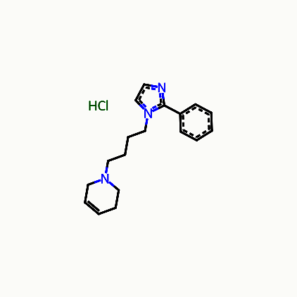 C1=CCN(CCCCn2ccnc2-c2ccccc2)CC1.Cl